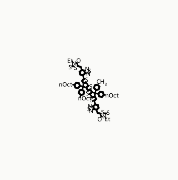 CCCCCCCCc1ccc(C2(c3ccc(C)cc3)c3cc(-c4ccc(/C=C5\SC(=S)N(CC)C5=O)c5nsnc45)sc3-c3sc4c5c(sc4c32)-c2sc(-c3ccc(/C=C4\SC(=S)N(CC)C4=O)c4nsnc34)cc2C5(c2ccc(CCCCCCCC)cc2)c2ccc(CCCCCCCC)cc2)cc1